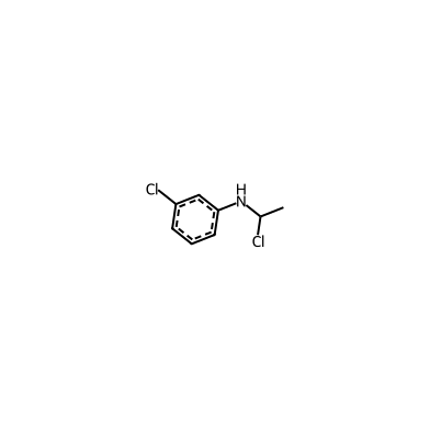 CC(Cl)Nc1cccc(Cl)c1